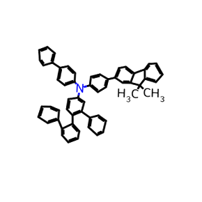 CC1(C)c2ccccc2-c2ccc(-c3ccc(N(c4ccc(-c5ccccc5)cc4)c4ccc(-c5ccccc5-c5ccccc5)c(-c5ccccc5)c4)cc3)cc21